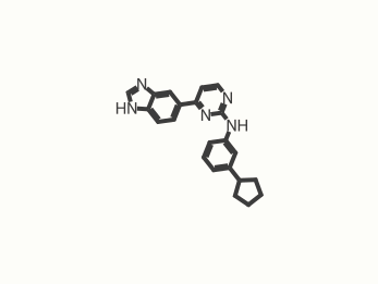 c1cc(Nc2nccc(-c3ccc4[nH]cnc4c3)n2)cc(C2CCCC2)c1